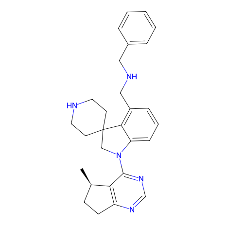 C[C@@H]1CCc2ncnc(N3CC4(CCNCC4)c4c(CNCc5ccccc5)cccc43)c21